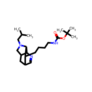 CC(C)CN1CC2CC3C=NC2C1C3CCCCNC(=O)OC(C)(C)C